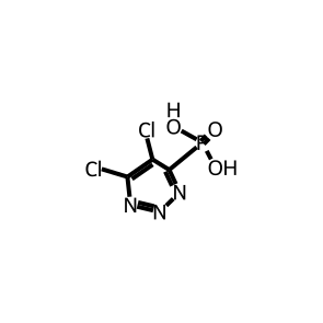 O=P(O)(O)c1nnnc(Cl)c1Cl